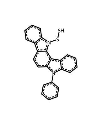 SSn1c2ccccc2c2ccc3c(c4ccccc4n3-c3ccccc3)c21